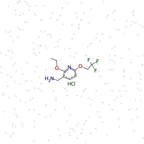 CCOc1nc(OCC(F)(F)F)ccc1CN.Cl